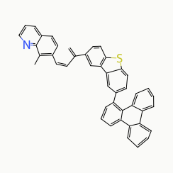 C=C(/C=C\c1ccc2cccnc2c1C)c1ccc2sc3ccc(-c4cccc5c6ccccc6c6ccccc6c45)cc3c2c1